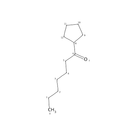 CCCCCCC(=O)C1CCCC1